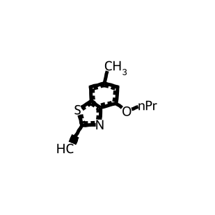 C#Cc1nc2c(OCCC)cc(C)cc2s1